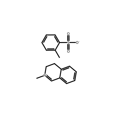 C[N+]1=Cc2ccccc2CC1.Cc1ccccc1S(=O)(=O)[O-]